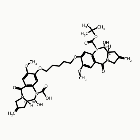 C=C1C[C@H]2[C@H](O)N(C(=O)O)c3cc(OCCCCCOc4cc5c(cc4OC)C(=O)N4CC(=C)C[C@H]4[C@H](O)N5C(=O)OC(C)(C)C)c(OC)cc3C(=O)N2C1